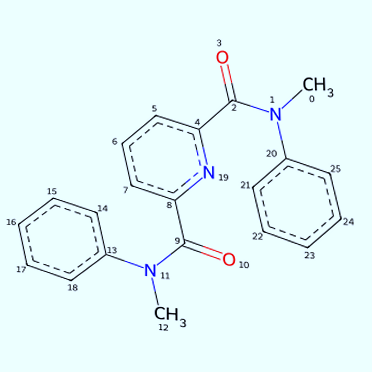 CN(C(=O)c1cccc(C(=O)N(C)c2ccccc2)n1)c1ccccc1